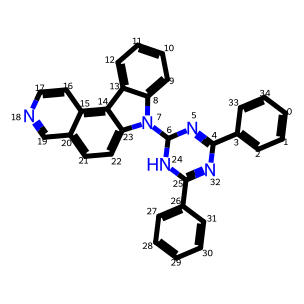 c1ccc(C2=NC(n3c4ccccc4c4c5ccncc5ccc43)NC(c3ccccc3)=N2)cc1